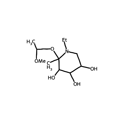 CCN1CC(O)C(O)C(O)C1(C)OC(C)OC